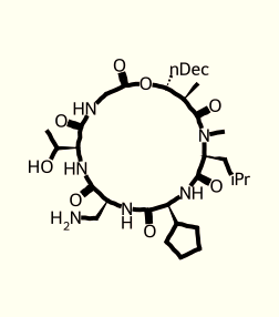 CCCCCCCCCC[C@H]1OC(=O)CNC(=O)[C@H](C(C)O)NC(=O)[C@H](CN)NC(=O)[C@H](C2CCCC2)NC(=O)[C@H](CC(C)C)N(C)C(=O)[C@@H]1C